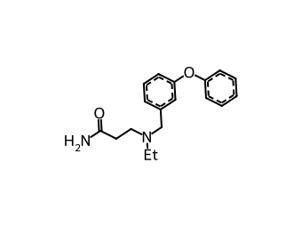 CCN(CCC(N)=O)Cc1cccc(Oc2ccccc2)c1